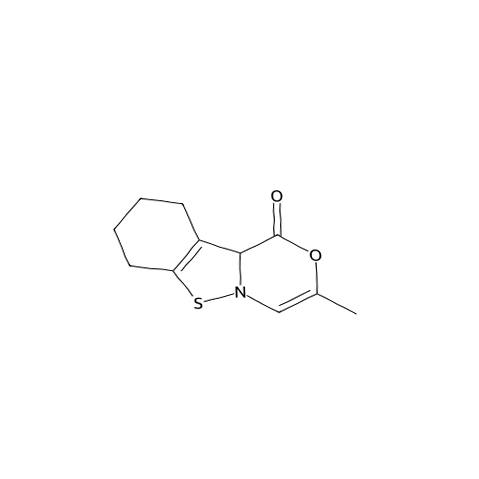 CC1=CN2SC3=C(CCCC3)C2C(=O)O1